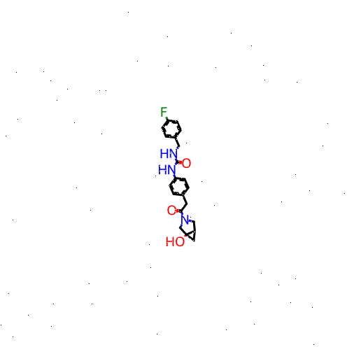 O=C(NCc1ccc(F)cc1)Nc1ccc(CC(=O)N2CC3CC3(O)C2)cc1